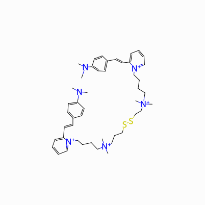 CN(C)c1ccc(/C=C/c2cccc[n+]2CCCC[N+](C)(C)CCCSSCC[N+](C)(C)CCCC[n+]2ccccc2/C=C/c2ccc(N(C)C)cc2)cc1